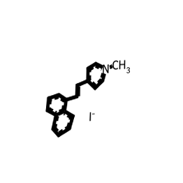 C[n+]1ccc(C=Cc2cccc3ccccc23)cc1.[I-]